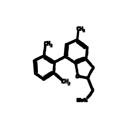 CNCC1Cc2cc(C)cc(-c3c(C)cccc3C)c2O1